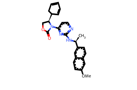 COc1ccc2cc([C@H](C)Nc3nccc(N4C(=O)OC[C@H]4C4C=CC=CC4)n3)ccc2c1